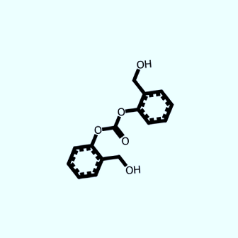 O=C(Oc1ccccc1CO)Oc1ccccc1CO